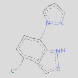 Clc1ccc(-n2cccn2)c2[nH]ncc12